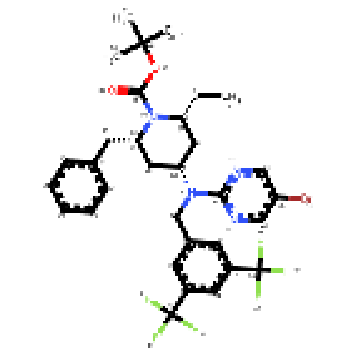 CC[C@@H]1C[C@H](N(Cc2cc(C(F)(F)F)cc(C(F)(F)F)c2)c2ncc(Br)cn2)C[C@H](Cc2ccccc2)N1C(=O)OC(C)(C)C